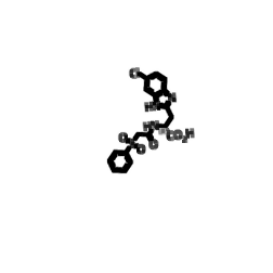 O=C(CS(=O)(=O)c1ccccc1)N[C@H](Cc1nc2ccc(Cl)cc2[nH]1)C(=O)O